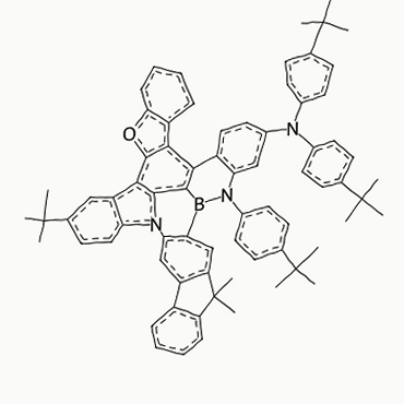 CC(C)(C)c1ccc(N2B3c4cc5c(cc4-n4c6ccc(C(C)(C)C)cc6c6c7oc8ccccc8c7c(c3c64)-c3ccc(N(c4ccc(C(C)(C)C)cc4)c4ccc(C(C)(C)C)cc4)cc32)-c2ccccc2C5(C)C)cc1